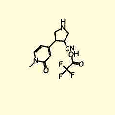 Cn1ccc(C2CNCC2C#N)cc1=O.O=C(O)C(F)(F)F